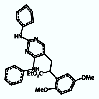 CCOC(=O)C(Cc1cnc(Nc2ccccc2)nc1Nc1ccccc1)c1cc(OC)ccc1OC